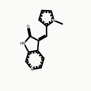 Cn1cccc1C=C1C(=O)Nc2cnccc21